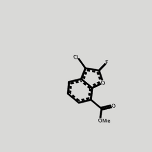 COC(=O)c1cccc2c(Cl)c(F)oc12